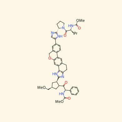 COC[C@@H]1CC(C(=O)[C@H](NC(=O)OC)c2ccccc2)[C@H](c2nc3c([nH]2)-c2cc4c(cc2CC3)-c2ccc(-c3cnc([C@@H]5CCCN5C(=O)[C@@H](NC(=O)OC)C(C)C)[nH]3)cc2CO4)C1